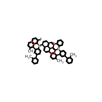 Cc1ccccc1-c1ccc(N(C2=C3C=CC4=C5C(=CC=C(C=C2)C35)C(N(c2ccccc2F)c2ccc(-c3ccccc3C)cc2-c2ccccc2C)C=C4)c2ccccc2F)c(-c2ccccc2C)c1